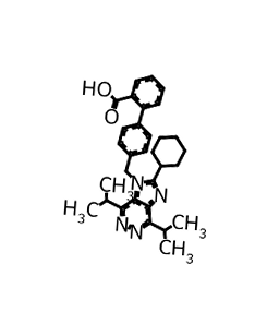 CC(C)c1nnc(C(C)C)c2c1nc(C1CCCCC1)n2Cc1ccc(-c2ccccc2C(=O)O)cc1